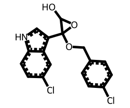 OC1OC1(OCc1ccc(Cl)cc1)c1c[nH]c2ccc(Cl)cc12